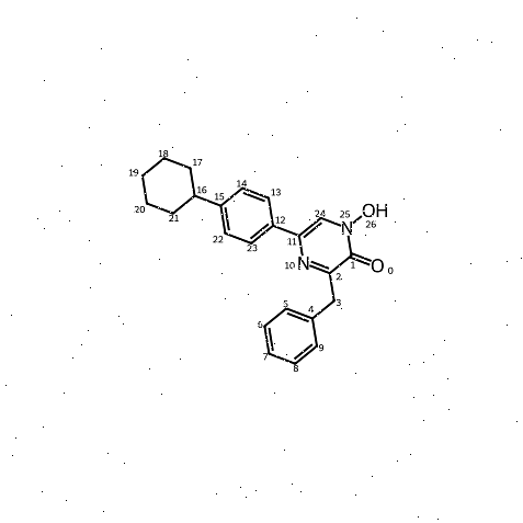 O=c1c(Cc2ccccc2)nc(-c2ccc(C3CCCCC3)cc2)cn1O